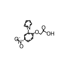 O=C(O)COc1ccc([N+](=O)[O-])cc1-n1cccc1